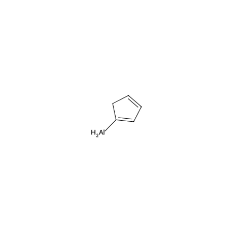 [AlH2][C]1=CC=CC1